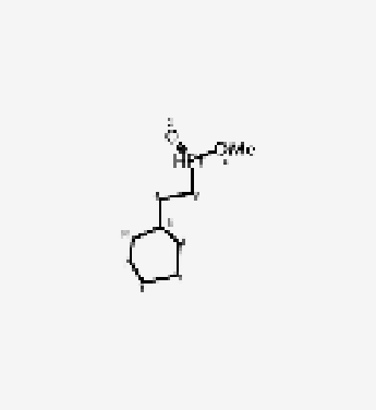 CO[PH](=O)CCC1CCCCC1